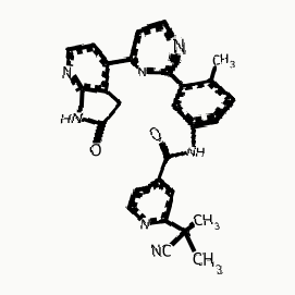 Cc1ccc(NC(=O)c2ccnc(C(C)(C)C#N)c2)cc1-c1nccc(-c2ccnc3c2CC(=O)N3)n1